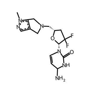 Cn1ncc2c1CN(C[C@@H]1CC(F)(F)[C@H](N3C=CC(N)NC3=O)O1)C2